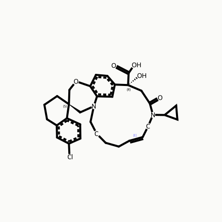 O=C1C[C@](O)(C(=O)O)c2ccc3c(c2)N(CCCC/C=C/CN1C1CC1)C[C@@]1(CCCc2cc(Cl)ccc21)CO3